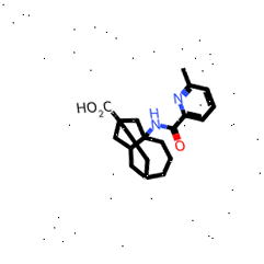 Cc1cccc(C(=O)NC23CCCC4CC2CC(C(=O)O)(C4)C3)n1